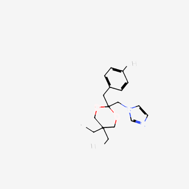 CCC1(CC)COC(Cc2ccc(C)cc2)(Cn2ccnc2)OC1